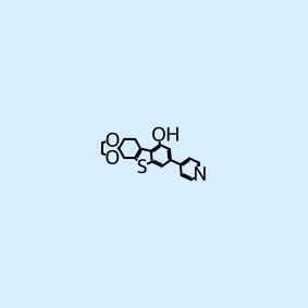 Oc1cc(-c2ccncc2)cc2sc3c(c12)CCC1(C3)OCCO1